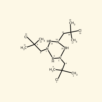 CC(C)(Cl)CN1BN(CC(C)(C)Cl)BN(CC(C)(C)Cl)B1